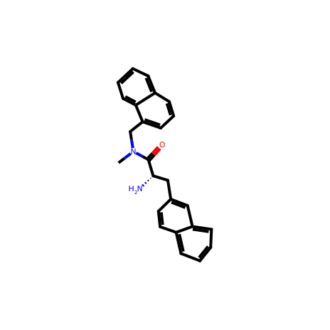 CN(Cc1cccc2ccccc12)C(=O)[C@@H](N)Cc1ccc2ccccc2c1